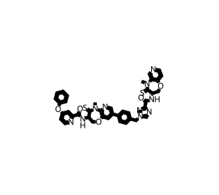 CN1C(=S)[C@@H](NC(=O)c2ncn(Cc3ccc(-c4cnc5c(c4)OCC(NC(=O)c4cc(Oc6ccccc6)ccn4)C(=S)N5C)cc3)n2)COc2ccncc21